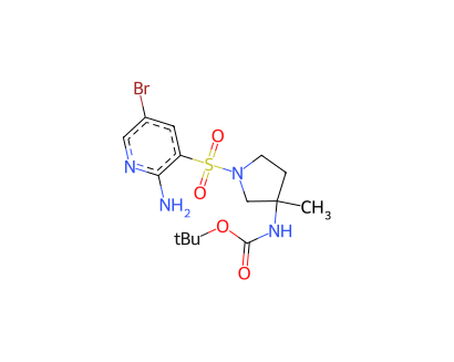 CC1(NC(=O)OC(C)(C)C)CCN(S(=O)(=O)c2cc(Br)cnc2N)C1